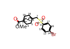 COC(=O)C12CCC(CS(=O)(=O)c3ccc(Br)cc3)(CC1)CC2